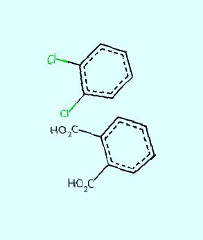 Clc1ccccc1Cl.O=C(O)c1ccccc1C(=O)O